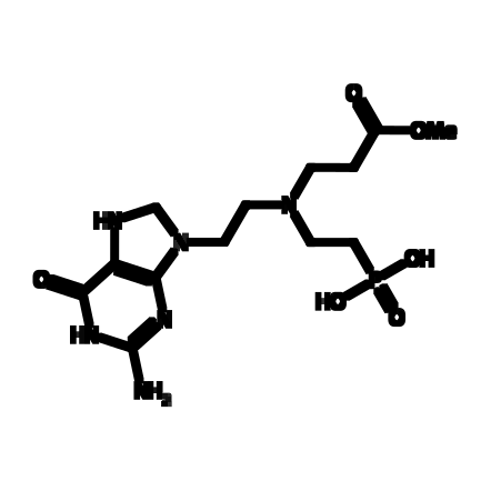 COC(=O)CCN(CCN1CNc2c1nc(N)[nH]c2=O)CCP(=O)(O)O